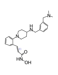 CN(C)Cc1cccc(CNC2CCN(c3ccccc3/C=C/C(=O)NO)CC2)c1